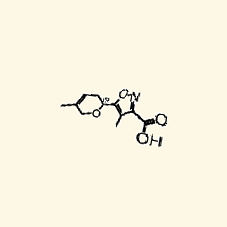 CC1=CC[C@@H](c2onc(C(=O)O)c2C)OC1